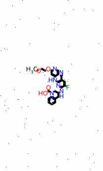 COCCOc1cc(Nc2nc(NC(CNC(=O)O)Cc3ccccc3)c(F)cc2C#N)ccn1